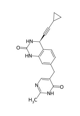 Cc1ncc(Cc2ccc3c(c2)NC(=O)N[C@H]3C#CC2CC2)c(=O)[nH]1